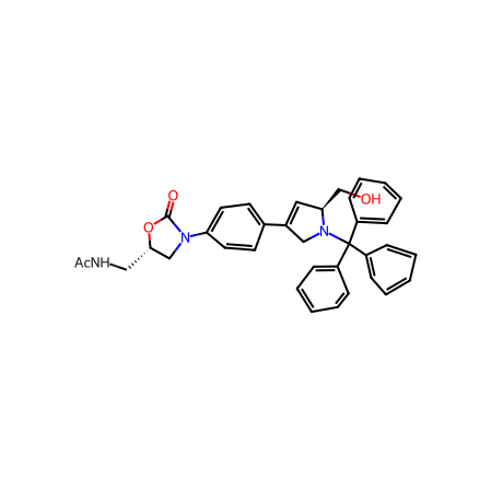 CC(=O)NC[C@H]1CN(c2ccc(C3=C[C@@H](CO)N(C(c4ccccc4)(c4ccccc4)c4ccccc4)C3)cc2)C(=O)O1